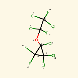 FC(Cl)(Cl)C(F)(Cl)OC1(Cl)C(F)(F)C1(Cl)Cl